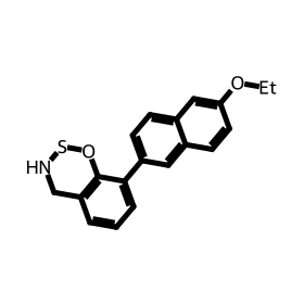 CCOc1ccc2cc(-c3cccc4c3OSNC4)ccc2c1